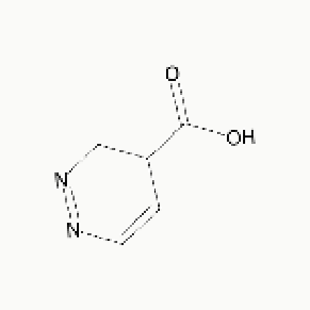 O=C(O)C1C=CN=NC1